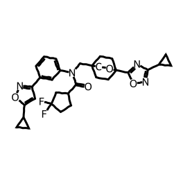 O=C(C1CCC(F)(F)C1)N(CC12CCC(c3nc(C4CC4)no3)(CC1)OC2)c1cccc(-c2cc(C3CC3)on2)c1